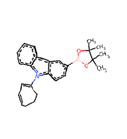 CC1(C)OB(c2ccc3c(c2)c2ccccc2n3C2=CC=CCC2)OC1(C)C